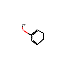 CC(C)OC1=C[CH]CC=C1